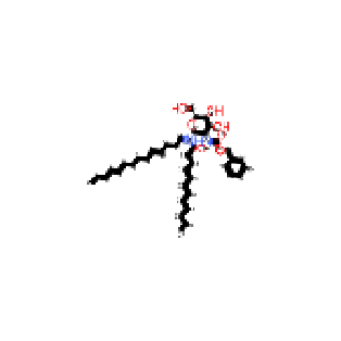 CCCCCCCCCCCCCCN(C(=O)CCCCCCCCCCC)[C@@H]1O[C@H](CO)[C@@H](O)[C@H](O)[C@H]1NC(=O)OCc1ccccc1